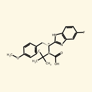 COc1ccc(C[C@H](c2nc3cc(F)ccc3[nH]2)N(C(=O)O)C(C)(C)C)cc1